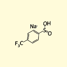 O=S(O)c1ccc(C(F)(F)F)cc1.[Na]